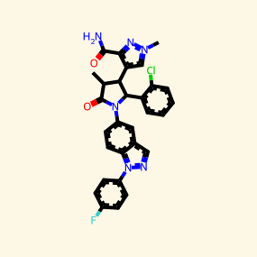 CC1C(=O)N(c2ccc3c(cnn3-c3ccc(F)cc3)c2)C(c2ccccc2Cl)C1c1cn(C)nc1C(N)=O